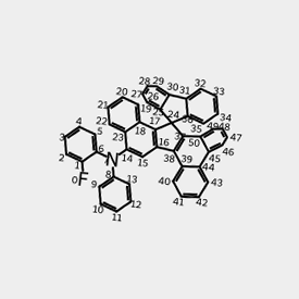 Fc1ccccc1N(c1ccccc1)c1cc2c(c3ccccc13)C1(c3ccccc3-c3ccccc31)c1c-2c2ccccc2c2ccccc12